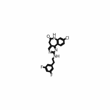 O=C1Cc2cnc(NCCc3cc(F)cc(F)c3)nc2-c2ccc(Cl)cc2N1